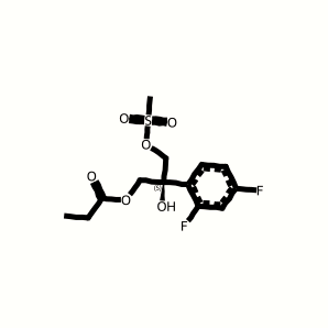 CCC(=O)OC[C@](O)(COS(C)(=O)=O)c1ccc(F)cc1F